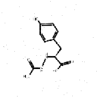 CC(=O)NN[C@@H](Cc1ccc(O)cc1)C(=O)O